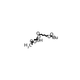 C=CC(=O)OCC(O)COC(=O)CCCCCOC(=O)C(C)CC